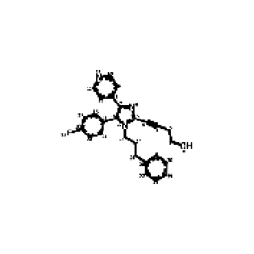 OCCC#Cc1nc(-c2ccncc2)c(-c2ccc(F)cc2)n1CCCc1ccccc1